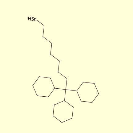 [SnH][CH2]CCCCCCC(C1CCCCC1)(C1CCCCC1)C1CCCCC1